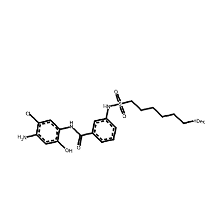 CCCCCCCCCCCCCCCCS(=O)(=O)Nc1cccc(C(=O)Nc2cc(Cl)c(N)cc2O)c1